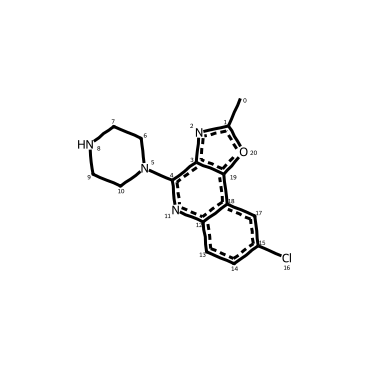 Cc1nc2c(N3CCNCC3)nc3ccc(Cl)cc3c2o1